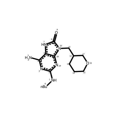 CCCCNc1nc(N)c2[nH]c(=O)n(CC3CCCOC3)c2n1